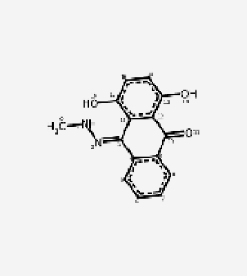 CN/N=C1/c2ccccc2C(=O)c2c(O)ccc(O)c21